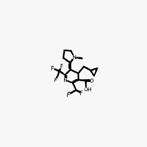 CN1CCCC1=C1C(C(F)(F)F)=NC(C(F)F)=C(C(=O)O)C1CC1CC1